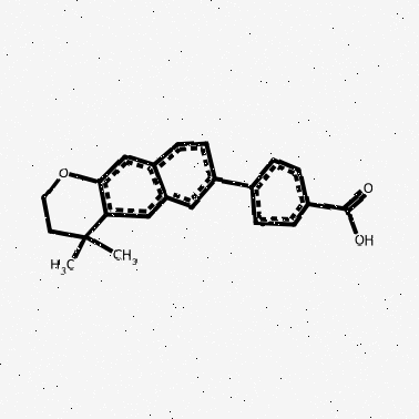 CC1(C)CCOc2cc3ccc(-c4ccc(C(=O)O)cc4)cc3cc21